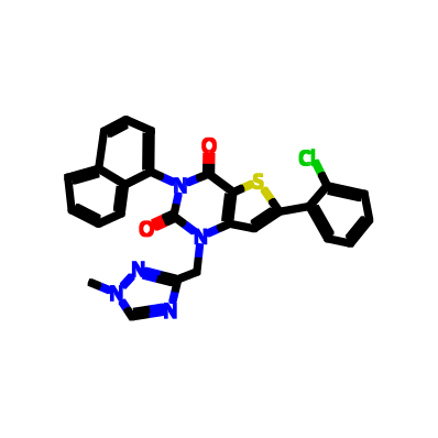 Cn1cnc(Cn2c(=O)n(-c3cccc4ccccc34)c(=O)c3sc(-c4ccccc4Cl)cc32)n1